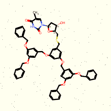 Cc1cn([C@H]2C[C@H](O)[C@@H](CSCc3cc(OCc4cc(OCc5ccccc5)cc(OCc5ccccc5)c4)cc(OCc4cc(OCc5ccccc5)cc(OCc5ccccc5)c4)c3)O2)c(=O)[nH]c1=O